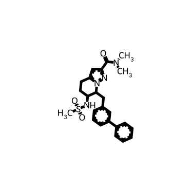 CN(C)C(=O)c1cc2n(n1)C(Cc1cccc(-c3ccccc3)c1)C(NS(C)(=O)=O)CC2